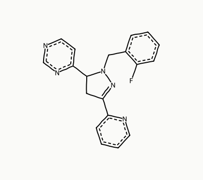 Fc1ccccc1CN1N=C(c2ccccn2)CC1c1ccncn1